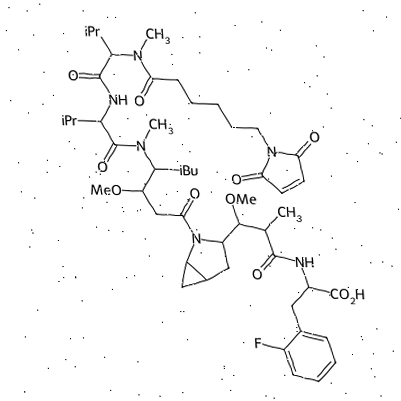 CCC(C)C(C(CC(=O)N1C2CC2CC1C(OC)C(C)C(=O)NC(Cc1ccccc1F)C(=O)O)OC)N(C)C(=O)C(NC(=O)C(C(C)C)N(C)C(=O)CCCCCN1C(=O)C=CC1=O)C(C)C